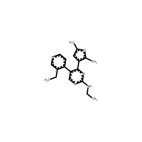 CCNc1ncc(-c2ccncc2CC)c(-c2cc(C)oc2C)n1